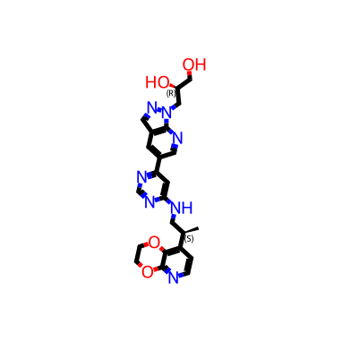 C[C@H](CNc1cc(-c2cnc3c(cnn3C[C@@H](O)CO)c2)ncn1)c1ccnc2c1OCCO2